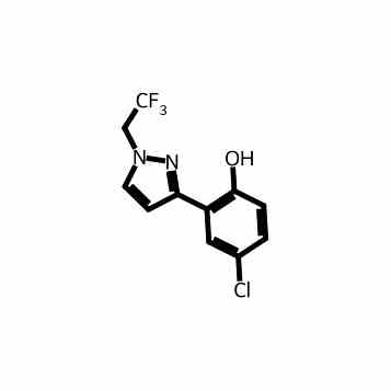 Oc1ccc(Cl)cc1-c1ccn(CC(F)(F)F)n1